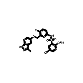 COc1ncc(Cl)cc1S(=O)(=O)Nc1ccc(F)c(COc2cnc3[nH]nc(C)c3c2)n1